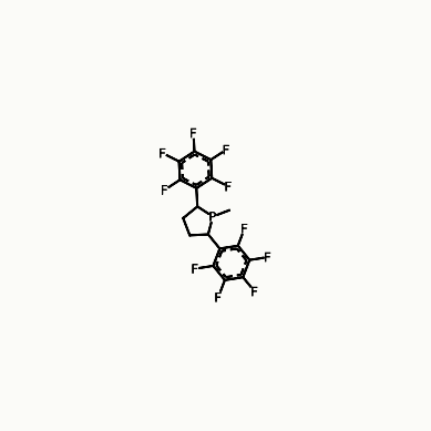 CP1C(c2c(F)c(F)c(F)c(F)c2F)CCC1c1c(F)c(F)c(F)c(F)c1F